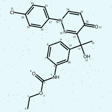 CCOC(=O)Nc1cccc(C(C)(O)c2nn(-c3ccc(Cl)cc3)ccc2=O)c1